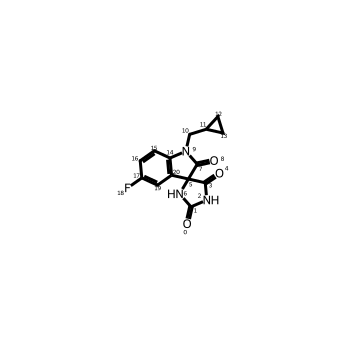 O=C1NC(=O)C2(N1)C(=O)N(CC1CC1)c1ccc(F)cc12